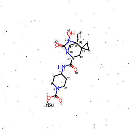 CC(C)(C)OC(=O)N1CCC(NC(=O)[C@@H]2CC3(CC3)[C@@H]3CN2C(=O)N3O)CC1